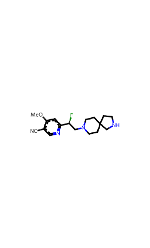 COc1cc([C@@H](F)CN2CCC3(CCNC3)CC2)ncc1C#N